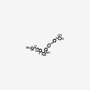 Cc1c([C@@H](C)NC(=O)c2noc(C(C)(C)C)n2)ccc(-c2ncnc3[nH]c4cc(N5CCN(CCc6ccc(SC7CCC(=O)NC7=O)cc6)CC5)ccc4c23)c1F